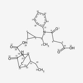 CC(C1CC1)N(C(=O)CCC(=O)O)c1ccccc1.CCC1CC2CC(C(=O)O)C1NC2=O